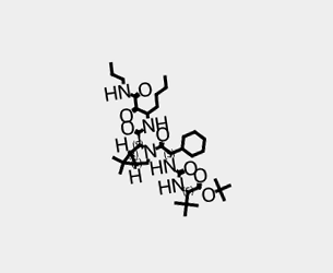 CCCCC(NC(=O)[C@@H]1[C@@H]2[C@H](CN1C(=O)[C@@H](NC(=O)N[C@H](C(=O)OC(C)(C)C)C(C)(C)C)C1CCCCC1)C2(C)C)C(=O)C(=O)NCCC